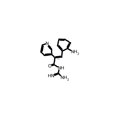 N=C(N)NC(=O)/C(=C/c1ccccc1N)c1cccnc1